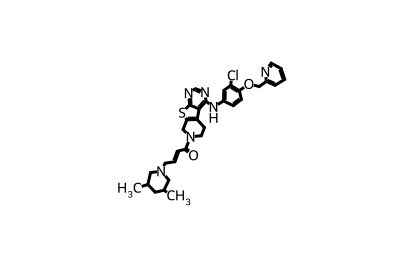 CC1CC(C)CN(CC=CC(=O)N2CCc3c(sc4ncnc(Nc5ccc(OCc6ccccn6)c(Cl)c5)c34)C2)C1